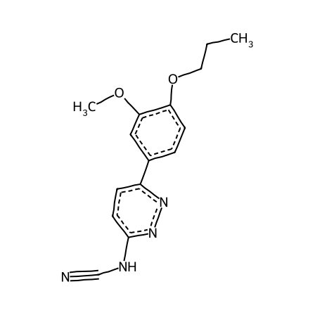 CCCOc1ccc(-c2ccc(NC#N)nn2)cc1OC